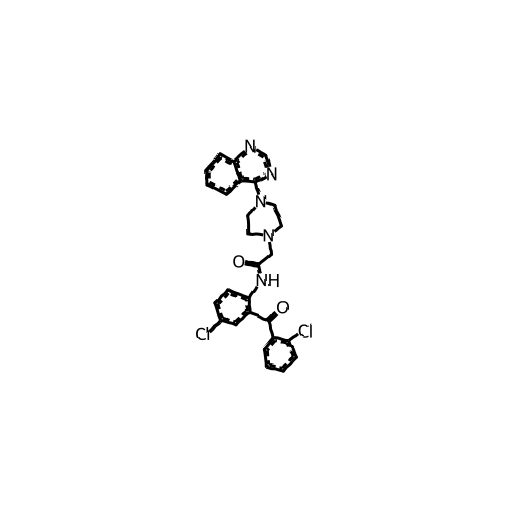 O=C(CN1CCN(c2ncnc3ccccc23)CC1)Nc1ccc(Cl)cc1C(=O)c1ccccc1Cl